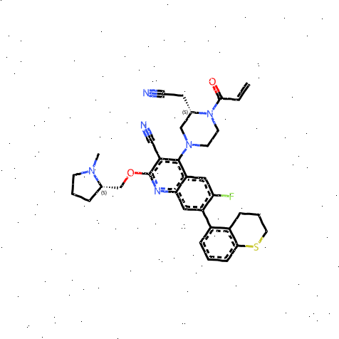 C=CC(=O)N1CCN(c2c(C#N)c(OC[C@@H]3CCCN3C)nc3cc(-c4cccc5c4CCCS5)c(F)cc23)C[C@@H]1CC#N